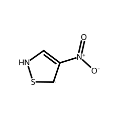 O=[N+]([O-])C1=CNS[CH]1